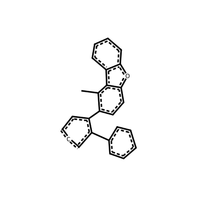 Cc1c(-c2ccccc2-c2ccccc2)ccc2oc3ccccc3c12